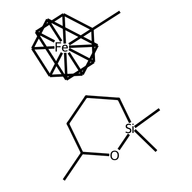 CC1CCC[Si](C)(C)O1.C[C]12[CH]3[CH]4[CH]5[CH]1[Fe]45321678[CH]2[CH]1[CH]6[CH]7[CH]28